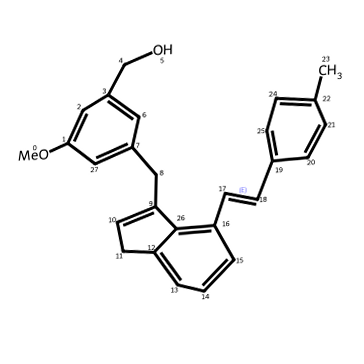 COc1cc(CO)cc(CC2=CCc3cccc(/C=C/c4ccc(C)cc4)c32)c1